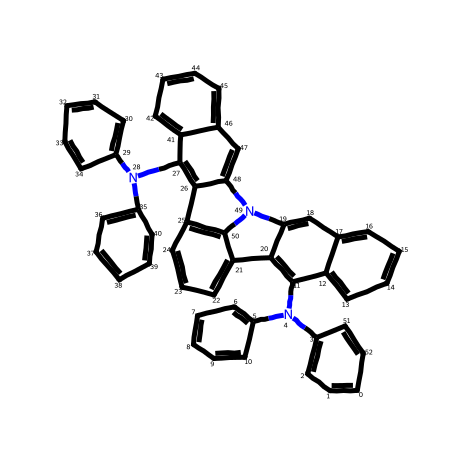 c1ccc(N(c2ccccc2)c2c3ccccc3cc3c2c2cccc4c5c(N(c6ccccc6)c6ccccc6)c6ccccc6cc5n3c24)cc1